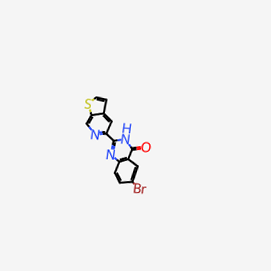 O=c1[nH]c(-c2cc3ccsc3cn2)nc2ccc(Br)cc12